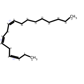 CC/C=C\C/C=C\C/C=C\CCCCCCCC